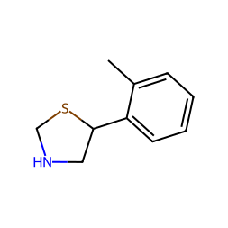 Cc1ccccc1C1CNCS1